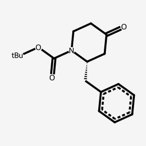 CC(C)(C)OC(=O)N1CCC(=O)C[C@@H]1Cc1ccccc1